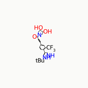 CC(C)(C)N/C=C(\C=N)c1ccc(C#CC(=O)N2C[C@@H](O)[C@@H](O)C2)cc1C(F)(F)F